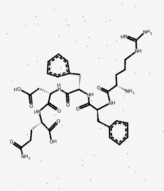 N=C(N)NCCC[C@H](N)C(=O)N[C@@H](Cc1ccccc1)C(=O)N[C@@H](Cc1ccccc1)C(=O)N[C@@H](CC(=O)O)C(=O)N[C@@H](CCC(N)=O)C(=O)O